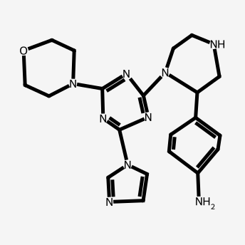 Nc1ccc(C2CNCCN2c2nc(N3CCOCC3)nc(-n3ccnc3)n2)cc1